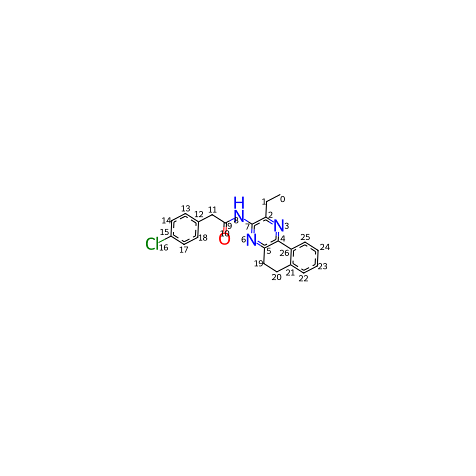 CCc1nc2c(nc1NC(=O)Cc1ccc(Cl)cc1)CCc1ccccc1-2